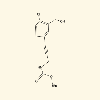 CC(C)(C)OC(=O)NCC#Cc1ccc(Cl)c(CO)c1